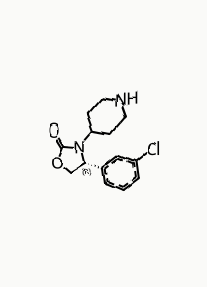 O=C1OC[C@@H](c2cccc(Cl)c2)N1C1CCNCC1